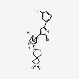 CCn1nc(-c2cncc(C(F)(F)F)c2)cc1[C@]12C3[C@@H](N4CCC5(C4)CS(=O)(=O)C5)C[C@@H]1[C@H]32